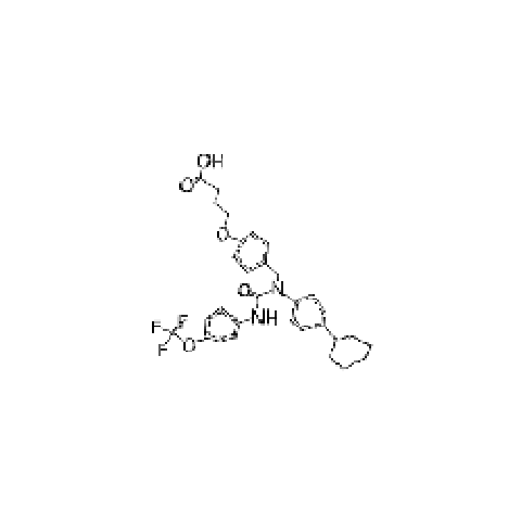 O=C(O)CCCOc1ccc(CN(C(=O)Nc2ccc(OC(F)(F)F)cc2)c2ccc(C3CCCCC3)cc2)cc1